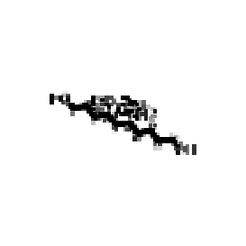 CCOC(N)=O.CCOC(N)=O.OCCCCCCCCCCO